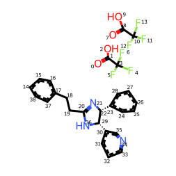 O=C(O)C(F)(F)F.O=C(O)C(F)(F)F.c1ccc(CCC2=N[C@H](c3ccccc3)[C@H](c3cccnc3)N2)cc1